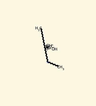 CCCCCCCC/C=C\CCCCCCCCC(CCCCCCCCCCCCCCC)OS(=O)(=O)O.CCO